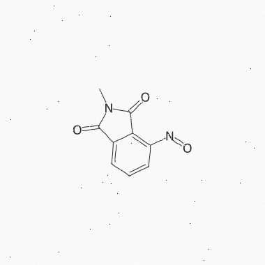 CN1C(=O)c2cccc(N=O)c2C1=O